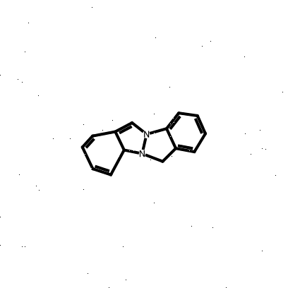 C1=CC2=CN3c4ccccc4CN3C2C=C1